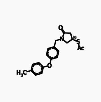 CC(=O)S[C@@H]1CC(=O)N(Cc2ccc(Oc3ccc(C)cc3)cc2)C1